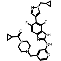 O=C(C1CC1)N1CCN(Cc2ccnc(Nc3nc4cc(F)c(-c5cnn(CC6CC6)c5)c(F)c4[nH]3)c2)CC1